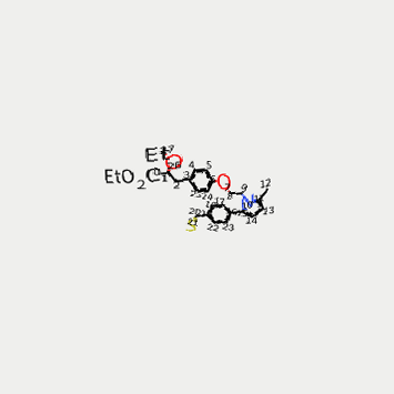 CCOC(=O)C(Cc1ccc(OCCn2c(C)ccc2-c2ccc(C=S)cc2)cc1)OCC